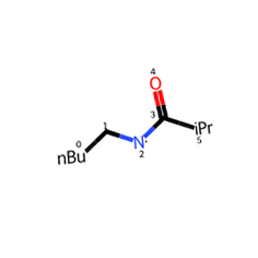 CCCCC[N]C(=O)C(C)C